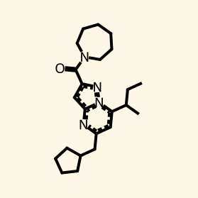 CCC(C)c1cc(CC2CCCC2)nc2cc(C(=O)N3CCCCCC3)nn12